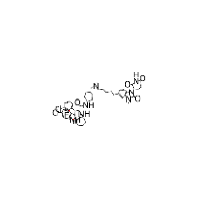 CN(CCCCCc1ccc2c(c1)n(C)c(=O)n2C1CCC(=O)NC1=O)C[C@H]1CC[C@H](NC(=O)[C@@H]2NC3(CCCCC3)[C@@]3(C(=O)Nc4cc(Cl)ccc43)[C@H]2c2cccc(Cl)c2F)CC1